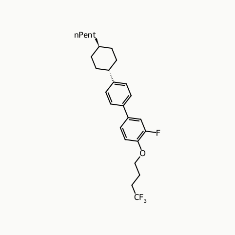 CCCCC[C@H]1CC[C@H](c2ccc(-c3ccc(OCCCC(F)(F)F)c(F)c3)cc2)CC1